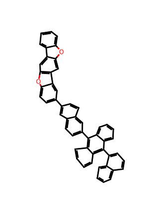 c1ccc2c(-c3c4ccccc4c(-c4ccc5cc(-c6ccc7oc8cc9c(cc8c7c6)oc6ccccc69)ccc5c4)c4ccccc34)cccc2c1